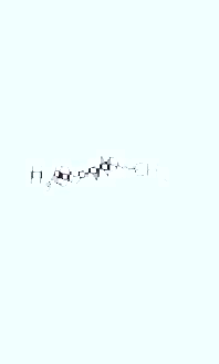 CCCCCCCCOc1cnc(-c2ccc(-c3ccc(OC[C@H]4COC(C)(C)O4)cc3)nc2)cn1